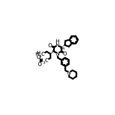 CCC(CC)[C@@H]1C(=O)N[C@H](C2Cc3ccccc3C2)C(=O)N1Cc1cccc(CN2CCCCC2)c1.O=CO